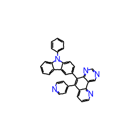 c1ccc(-n2c3ccccc3c3cc(-c4c(-c5ccncc5)c5cccnc5c5cncnc45)ccc32)cc1